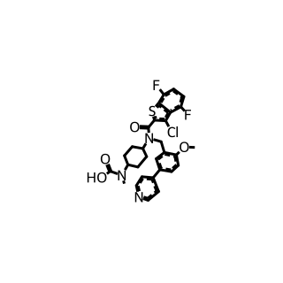 COc1ccc(-c2ccncc2)cc1CN(C(=O)c1sc2c(F)ccc(F)c2c1Cl)C1CCC(N(C)C(=O)O)CC1